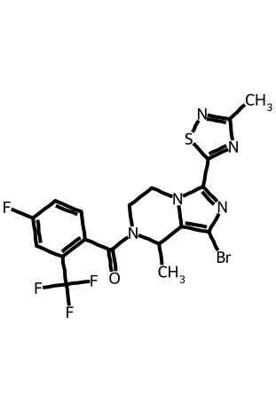 Cc1nsc(-c2nc(Br)c3n2CCN(C(=O)c2ccc(F)cc2C(F)(F)F)C3C)n1